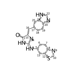 O=C1NC(Nc2ccc3ncsc3c2)=NC1=Cc1ccc2nc[nH]c2c1